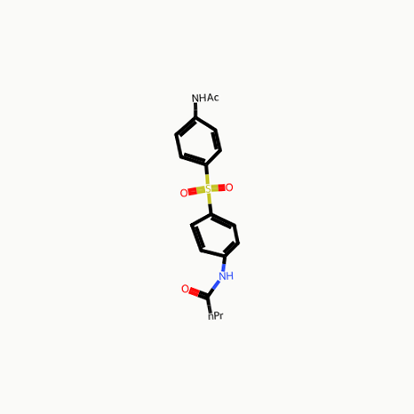 CCCC(=O)Nc1ccc(S(=O)(=O)c2ccc(NC(C)=O)cc2)cc1